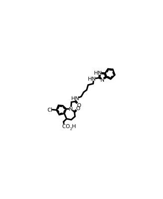 O=C(O)CC1CCC(=O)N(CC(=O)NCCCCCNc2nc3ccccc3[nH]2)c2ccc(Cl)cc21